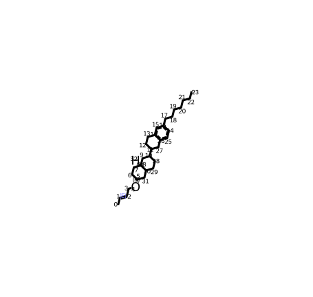 C/C=C/CO[C@@H]1CC[C@@H]2CC(C3CCc4cc(CCCCCCC)ccc4C3)CCC2C1